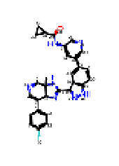 CC12C=NC=C(c3ccc(F)cc3)C1N=C(c1n[nH]c3ccc(-c4cncc(NC(=O)C5CC5)c4)cc13)N2